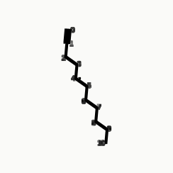 C#CCC[CH]CCCCCC